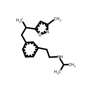 Cc1cc(C(C)Cc2cccc(CCNC(C)C)c2)on1